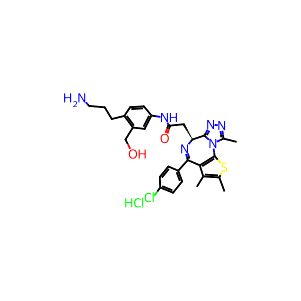 Cc1sc2c(c1C)C(c1ccc(Cl)cc1)=N[C@@H](CC(=O)Nc1ccc(CCCN)c(CO)c1)c1nnc(C)n1-2.Cl